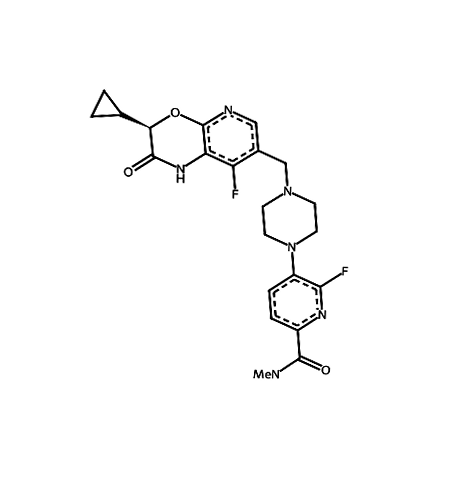 CNC(=O)c1ccc(N2CCN(Cc3cnc4c(c3F)NC(=O)[C@@H](C3CC3)O4)CC2)c(F)n1